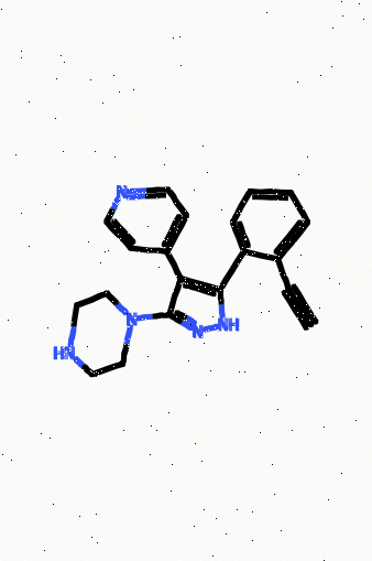 C#Cc1ccccc1-c1[nH]nc(N2CCNCC2)c1-c1ccncc1